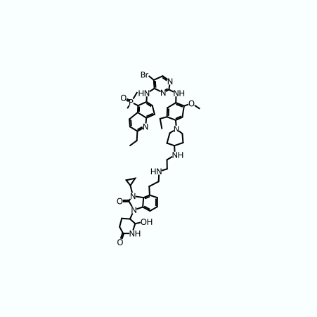 CCc1ccc2c(P(C)(C)=O)c(Nc3nc(Nc4cc(CC)c(N5CCC(NCCNCCc6cccc7c6n(C6CC6)c(=O)n7C6CCC(=O)NC6O)CC5)cc4OC)ncc3Br)ccc2n1